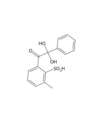 Cc1cccc(C(=O)C(O)(O)c2ccccc2)c1S(=O)(=O)O